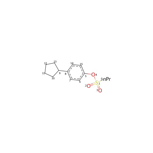 CCCS(=O)(=O)Oc1ccc(C2CCCC2)cc1